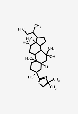 CC[C@@H](C)[C@H]1CCC2C3C(C[C@H](O)[C@@]21C)[C@@]1(C)CC[C@](O)(C2=NC(C)(C)CO2)C[C@H]1CC3(C)O